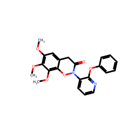 COc1cc2c(c(OC)c1OC)ON(c1cccnc1Oc1ccccc1)C(=O)C2